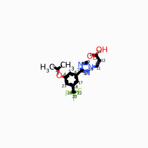 CC(C)Oc1cc(-c2ncn(/C=C\C(=O)O)n2)cc(C(F)(F)F)c1